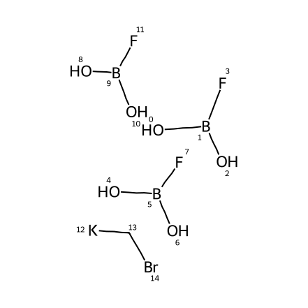 OB(O)F.OB(O)F.OB(O)F.[K][CH2]Br